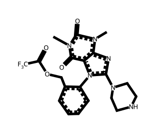 Cn1c(=O)c2c(nc(N3CCNCC3)n2-c2ccccc2COC(=O)C(F)(F)F)n(C)c1=O